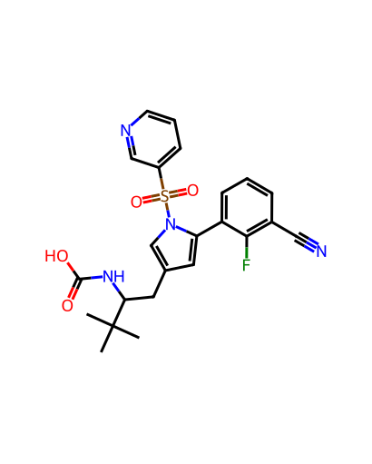 CC(C)(C)C(Cc1cc(-c2cccc(C#N)c2F)n(S(=O)(=O)c2cccnc2)c1)NC(=O)O